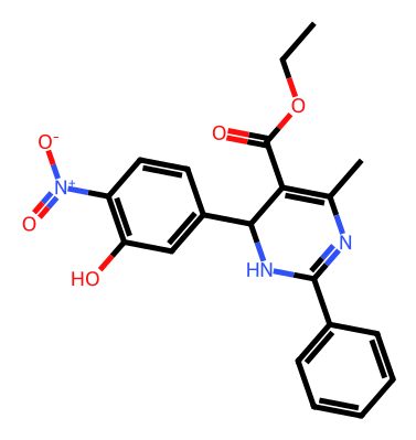 CCOC(=O)C1=C(C)N=C(c2ccccc2)NC1c1ccc([N+](=O)[O-])c(O)c1